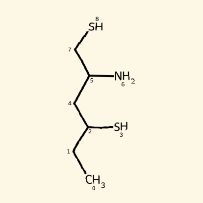 CCC(S)CC(N)CS